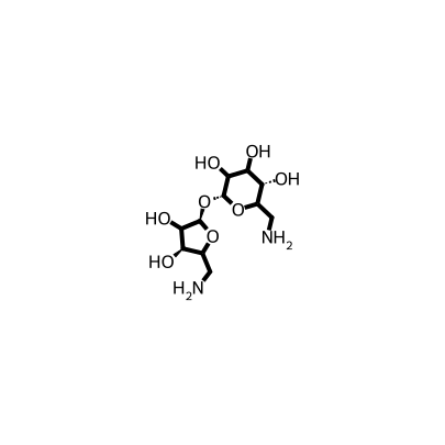 NCC1O[C@H](O[C@H]2OC(CN)[C@@H](O)C2O)C(O)C(O)[C@@H]1O